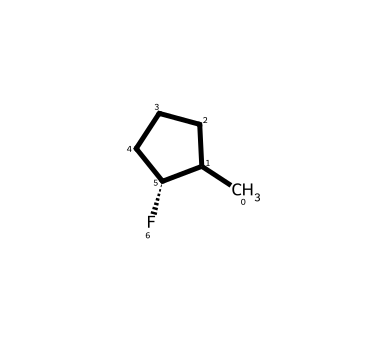 CC1CCC[C@H]1F